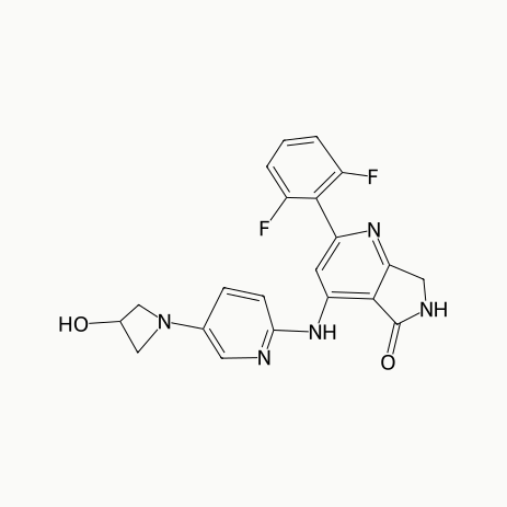 O=C1NCc2nc(-c3c(F)cccc3F)cc(Nc3ccc(N4CC(O)C4)cn3)c21